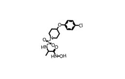 CC(NS(=O)(=O)N1CCC(Oc2ccc(Cl)cc2)CC1)C(=O)NO